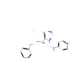 COc1nc(C)nc2c1c(COCc1ccccc1)nn2C(C)c1ccc(C(F)(F)F)cc1